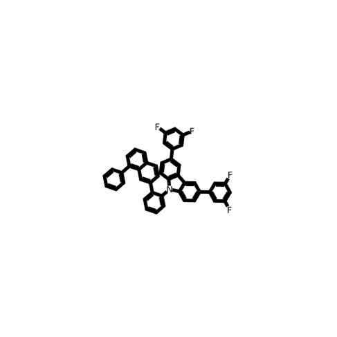 Fc1cc(F)cc(-c2ccc3c(c2)c2cc(-c4cc(F)cc(F)c4)ccc2n3-c2ccccc2-c2ccc3cccc(-c4ccccc4)c3c2)c1